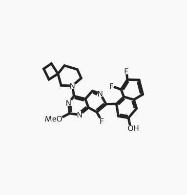 COc1nc(N2CCCC3(CCC3)C2)c2cnc(-c3cc(O)cc4ccc(F)c(F)c34)c(F)c2n1